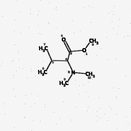 COC(=O)C(C(C)C)N(C)C